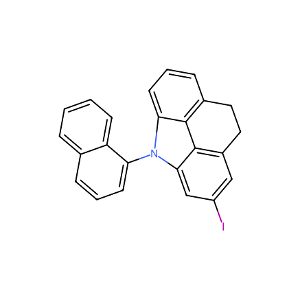 Ic1cc2c3c4c(cccc4n(-c4cccc5ccccc45)c3c1)CC2